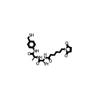 CC(C)[C@H](NC(=O)CCCCCN1C(=O)C=CC1=O)C(=O)N[C@@H](C)C(=O)Nc1ccc(CS)cc1